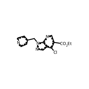 CCOC(=O)c1cnc2c(cnn2Cc2ccncc2)c1Cl